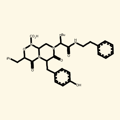 CCCCC(C(=O)NCCc1ccccc1)N1CC2N(C(=O)O)OC(CC(C)C)C(=O)N2C(Cc2ccc(O)cc2)C1=O